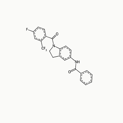 O=C(Nc1ccc2c(c1)CCN2C(=O)c1ccc(F)cc1C(F)(F)F)c1ccccc1